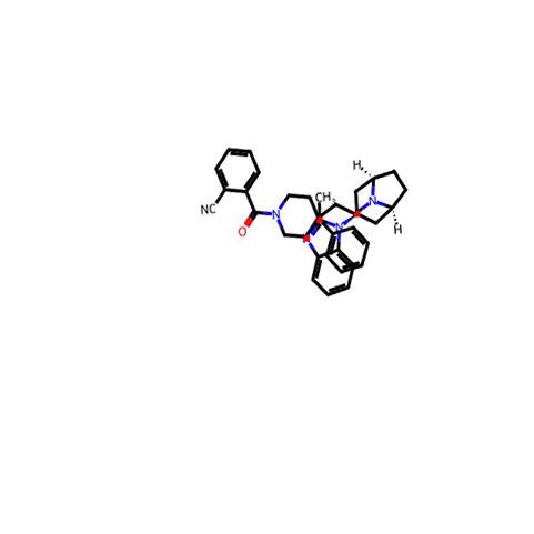 Cc1nc2ccccc2n1[C@H]1C[C@H]2CC[C@@H](C1)N2CCC1(c2ccccc2)CCN(C(=O)c2ccccc2C#N)CC1